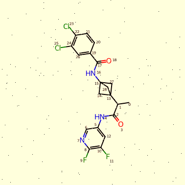 CC(C(=O)Nc1cnc(F)c(F)c1)C12CC(NC(=O)c3ccc(Cl)c(Cl)c3)(C1)C2